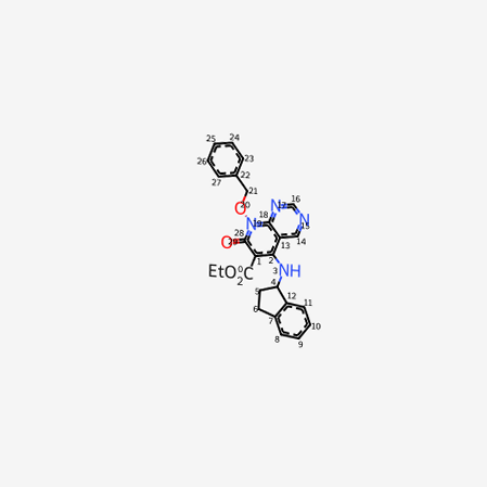 CCOC(=O)c1c(NC2CCc3ccccc32)c2cncnc2n(OCc2ccccc2)c1=O